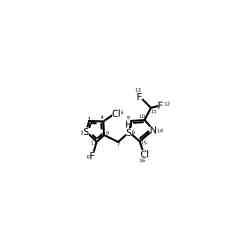 Fc1scc(Cl)c1C[SH]1C=C(C(F)F)N=C1Cl